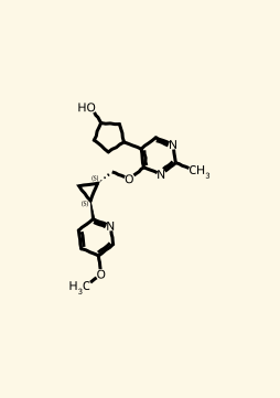 COc1ccc([C@H]2C[C@@H]2COc2nc(C)ncc2C2CCC(O)C2)nc1